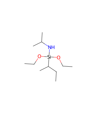 CCO[Si](NC(C)C)(OCC)C(C)CC